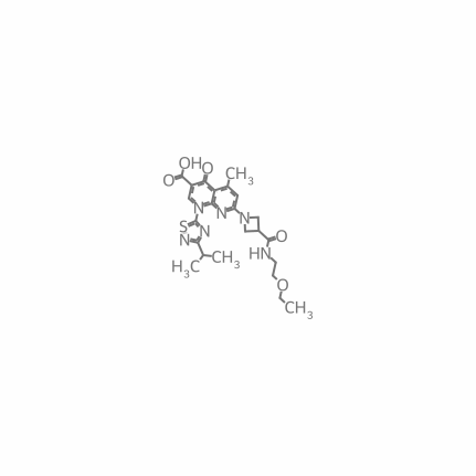 CCOCCNC(=O)C1CN(c2cc(C)c3c(=O)c(C(=O)O)cn(-c4nc(C(C)C)ns4)c3n2)C1